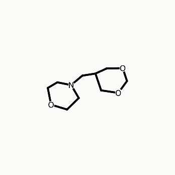 C1CN(CC2COCOC2)CCO1